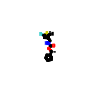 [2H]c1sc(F)cc1CNC(=O)O[C@H](C)c1ccccc1